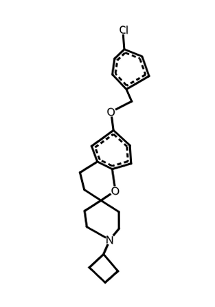 Clc1ccc(COc2ccc3c(c2)CCC2(CCN(C4CCC4)CC2)O3)cc1